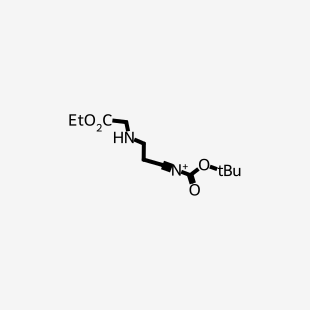 CCOC(=O)CNCCC#[N+]C(=O)OC(C)(C)C